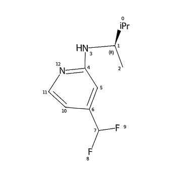 CC(C)[C@@H](C)Nc1cc(C(F)F)ccn1